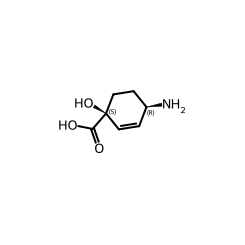 N[C@H]1C=C[C@](O)(C(=O)O)CC1